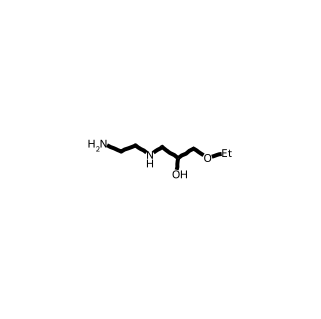 CCOCC(O)CNCCN